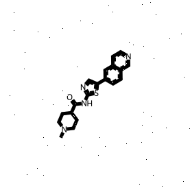 CN1CCC(C(=O)Nc2ncc(-c3ccc4cnccc4c3)s2)CC1